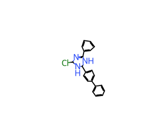 ClC1N=C(c2ccccc2)NC(c2ccc(-c3ccccc3)cc2)N1